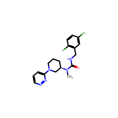 CN(C(=O)NCc1cc(Cl)ccc1F)[C@@H]1CCCN(c2cccnn2)C1